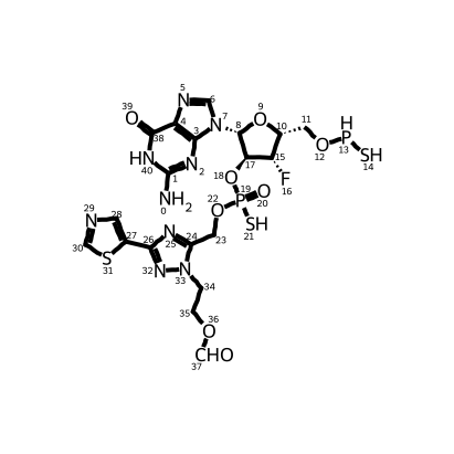 Nc1nc2c(ncn2[C@@H]2O[C@H](COPS)[C@H](F)[C@H]2OP(=O)(S)OCc2nc(-c3cncs3)nn2CCOC=O)c(=O)[nH]1